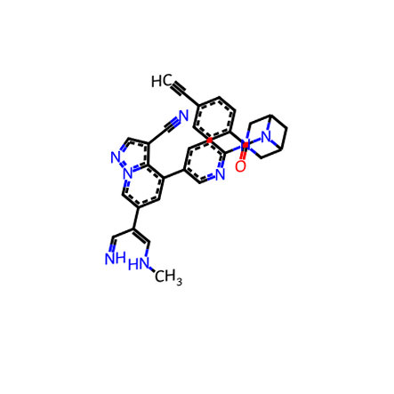 C#Cc1ccc(C(=O)N2C3CC2CN(c2ccc(-c4cc(/C(C=N)=C/NC)cn5ncc(C#N)c45)cn2)C3)cc1